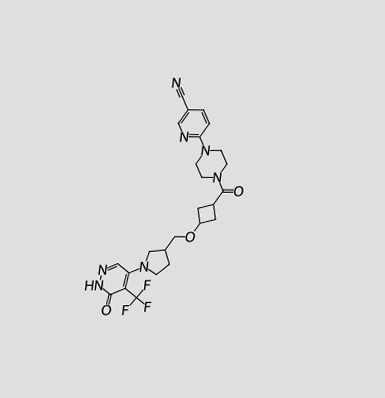 N#Cc1ccc(N2CCN(C(=O)C3CC(OCC4CCN(c5cn[nH]c(=O)c5C(F)(F)F)C4)C3)CC2)nc1